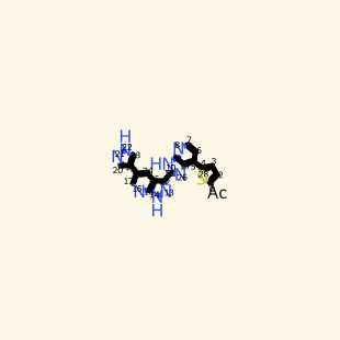 CC(=O)c1ccc(-c2ccnc3[nH]c(-c4n[nH]c5ncc(-c6cn[nH]c6)cc45)nc23)s1